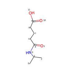 CC(C)NC(=O)CCCC(=O)O